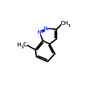 Cc1cc2cccc(C)c2nn1